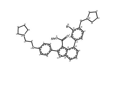 COC(=O)c1c(-c2ccc(OCCN3CCCC3)cc2)sc2cccc(-c3ccc(CN4CCCC4)c(Br)c3)c12